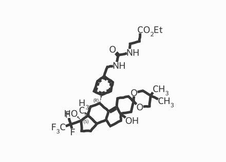 CCOC(=O)CCNC(=O)NCc1ccc([C@H]2C[C@@]3(C)C(CC[C@@]3(O)C(F)(F)C(F)(F)F)C3CCC4(O)CC5(CCC4=C32)OCC(C)(C)CO5)cc1